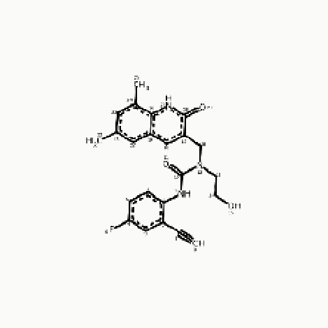 C#Cc1cc(F)ccc1NC(=O)N(CCO)Cc1cc2cc(C)cc(C)c2[nH]c1=O